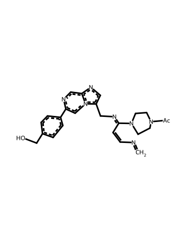 C=N/C=C\C(=N/Cc1cnc2cnc(-c3ccc(CO)cc3)cn12)N1CCN(C(C)=O)CC1